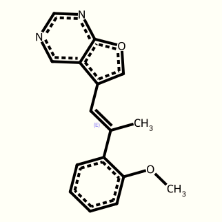 COc1ccccc1/C(C)=C/c1coc2ncncc12